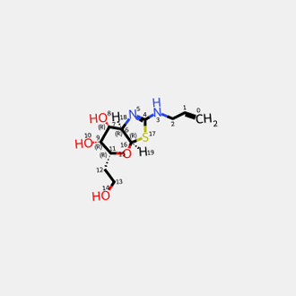 C=CCNC1=N[C@@H]2[C@@H](O)[C@@H](O)[C@@H](CCO)O[C@@H]2S1